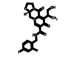 CC(CO)c1c2n(cc(C(=O)NCc3ccc(F)cc3F)c1=O)C[C@H]1OCCN1C2=O